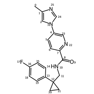 Cc1cn(-c2ccc(C(=O)NCC3(c4ccc(F)cc4)CC3)nc2)cn1